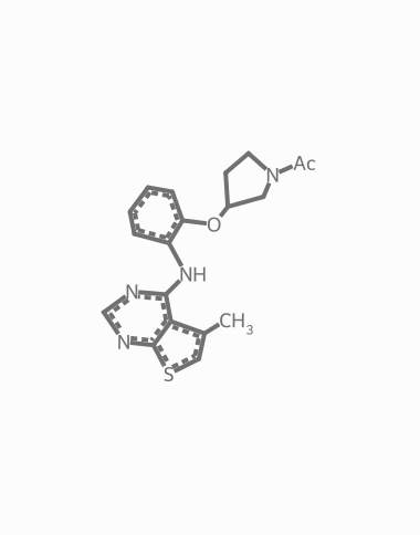 CC(=O)N1CCC(Oc2ccccc2Nc2ncnc3scc(C)c23)C1